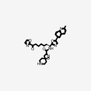 Cc1ccc2cc(-c3cnc([C@H](CCCCCC(=O)c4ncco4)NC(=O)C4=NOC5(CCNCC5)C4)o3)ccc2n1